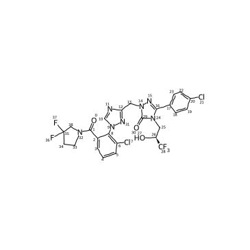 O=C(c1cccc(Cl)c1-n1cnc(Cn2nc(-c3ccc(Cl)cc3)n(C[C@H](O)C(F)(F)F)c2=O)n1)N1CCC(F)(F)C1